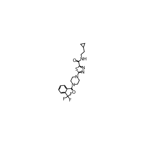 O=C(NCCC1CC1)c1nnc(N2CCN(C(=O)c3ccccc3C(F)(F)F)CC2)s1